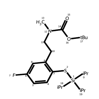 CC(C)[Si](Sc1ccc(F)cc1CCN(C)C(=O)OC(C)(C)C)(C(C)C)C(C)C